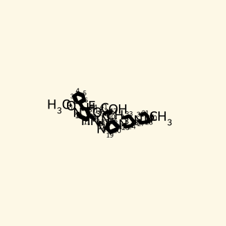 COc1ccccc1-c1nccc(C(=O)Nc2nc3ccc(N4CCC(N5CCN(C)CC5)CC4)cc3n2CC(C)(C)O)c1F